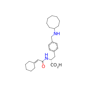 O=C(C=C1CCCCC1)N[C@H](Cc1ccc(CNC2CCCCCCC2)cc1)C(=O)O